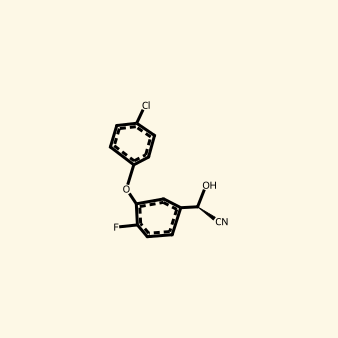 N#C[C@H](O)c1ccc(F)c(Oc2ccc(Cl)cc2)c1